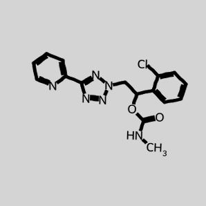 CNC(=O)OC(Cn1nnc(-c2ccccn2)n1)c1ccccc1Cl